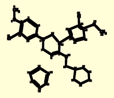 COc1ccc(N2CN=C(OCC3CCCCC3)N(c3ccc(OC)c(Cl)c3)C2)cc1Cl.c1cncnc1